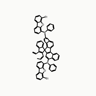 C=CC1=C(/C=C\C)C2(c3ccccc31)c1cc(N(c3ccccc3)c3cccc4c3oc3c(CC)cccc34)c3ccccc3c1-c1ccc3cc(N(c4ccccc4)c4cccc5c4oc4c(CC)cccc45)ccc3c12